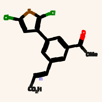 COC(=O)c1cc(/C=C/C(=O)O)cc(-c2cc(Cl)sc2Cl)c1